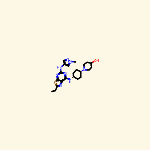 CCc1nc2c(N[C@H]3CC[C@H](N4CCC(O)CC4)CC3)nc(Nc3cnn(C)c3)nc2s1